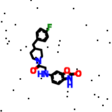 O=C(CNc1ccc2[nH]c(=O)oc2c1)N1CCC(Cc2ccc(F)cc2)CC1